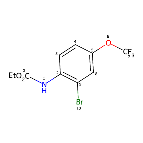 CCOC(=O)Nc1ccc(OC(F)(F)F)cc1Br